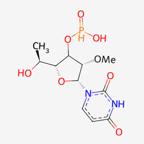 CO[C@H]1C(O[PH](=O)O)[C@@H]([C@H](C)O)O[C@H]1n1ccc(=O)[nH]c1=O